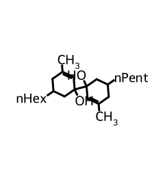 CCCCCCC1CC(C)=CC(O)(C2(O)C=C(C)CC(CCCCC)C2)C1